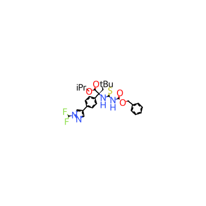 CC(C)OC(=O)[C@](CC(C)(C)C)(NC(=S)NC(=O)OCc1ccccc1)c1ccc(-c2cnn(C(F)F)c2)cc1